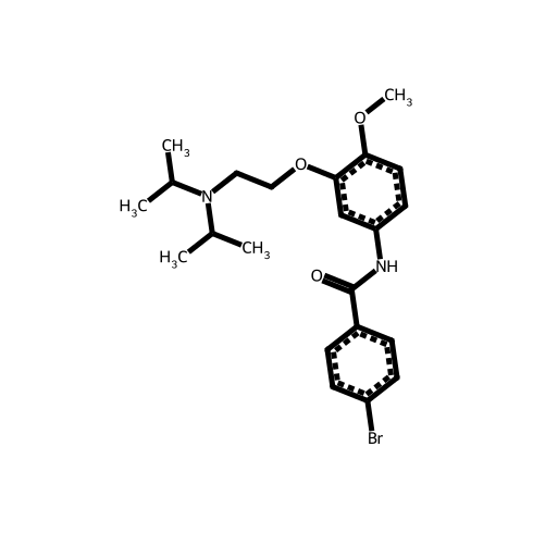 COc1ccc(NC(=O)c2ccc(Br)cc2)cc1OCCN(C(C)C)C(C)C